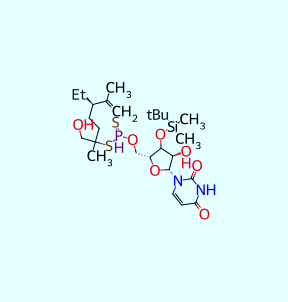 C=C(C)[C@H](CC)CCC(C)(CO)S[PH](=S)OC[C@H]1O[C@@H](n2ccc(=O)[nH]c2=O)[C@H](O)C1O[Si](C)(C)C(C)(C)C